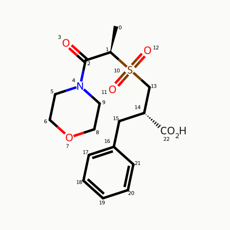 C[C@H](C(=O)N1CCOCC1)S(=O)(=O)C[C@@H](Cc1ccccc1)C(=O)O